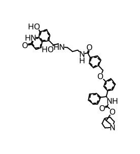 O=C(NC(c1ccccc1)c1cccc(OCc2ccc(C(=O)NCCCNCC(O)c3ccc(O)c4[nH]c(=O)ccc34)cc2)c1)OC1CN2CCC1CC2